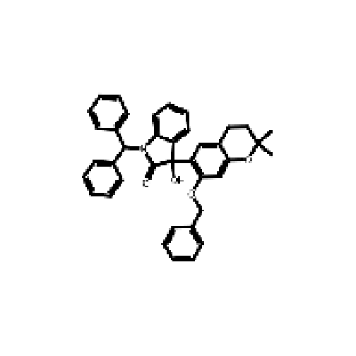 CC1(C)CCc2cc(C3(O)C(=O)N(C(c4ccccc4)c4ccccc4)c4ccccc43)c(OCc3ccccc3)cc2O1